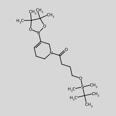 CC1(C)OB(C2=CCCN(C(=O)CCCO[Si](C)(C)C(C)(C)C)C2)OC1(C)C